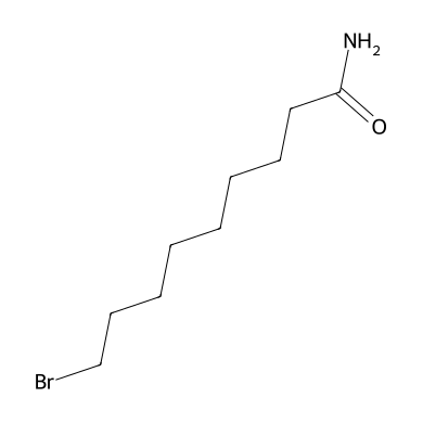 NC(=O)CCCCCCCCBr